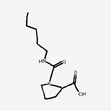 CCCCCNC(=O)N1CCCC1C(=O)O